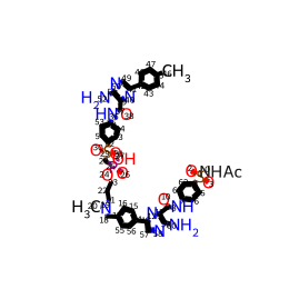 CC(=O)NS(=O)(=O)c1ccc(NC(=O)c2nc(-c3ccc(CN(C)CCCOP(=O)(O)CS(=O)(=O)c4ccc(NC(=O)c5nc(-c6ccc(C)cc6)cnc5N)cc4)cc3)cnc2N)cc1